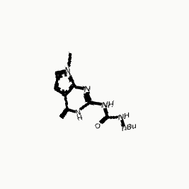 C=C1NC(NC(=O)NCCCC)=Nc2c1ccn2C